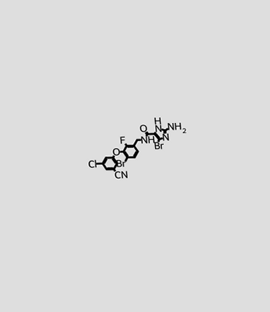 N#Cc1cc(Cl)cc(Oc2c(Br)ccc(CNC(=O)c3[nH]c(N)nc3Br)c2F)c1